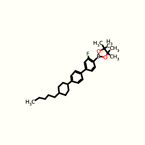 CCCCCC1CCC(c2ccc(-c3ccc(B4OC(C)(C)C(C)(C)O4)c(F)c3)cc2)CC1